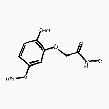 CCCOc1ccc(C=O)c(OCC(=O)NCC)c1